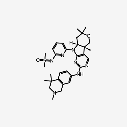 CN1Cc2cc(Nc3ncc4c(n3)N(c3cccc(N=S(C)(C)=O)n3)[C@@H]3CC(C)(C)OC[C@]43C)ccc2C(C)(C)C1